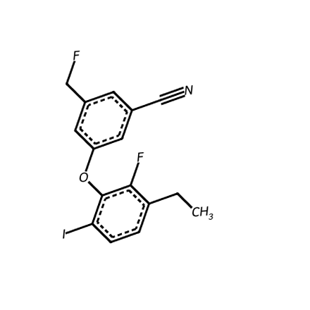 CCc1ccc(I)c(Oc2cc(C#N)cc(CF)c2)c1F